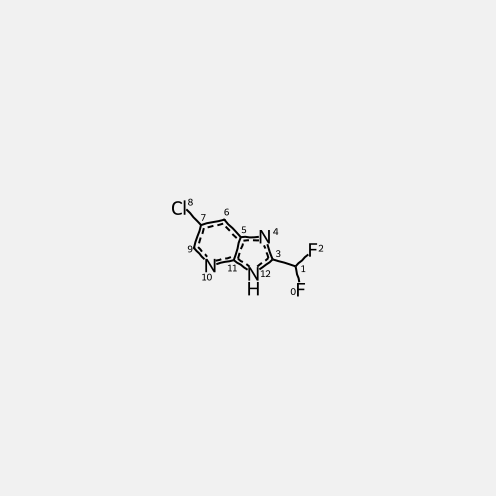 FC(F)c1nc2cc(Cl)cnc2[nH]1